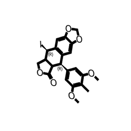 COc1cc([C@@H]2c3cc4c(cc3[C@H](I)C3COC(=O)C32)OCO4)cc(OC)c1C